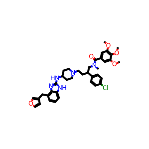 COc1cc(C(=O)N(C)CC(CCN2CCC(Nc3nc4c(Cc5ccoc5)cccc4[nH]3)CC2)c2ccc(Cl)cc2)cc(OC)c1OC